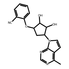 Cc1ncnc2c1ccn2C1CC(Oc2ccccc2C#N)C(O)C1O